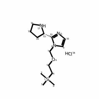 C[Si](C)(C)CCOCn1ccnc1[C@@H]1CCCN1.Cl